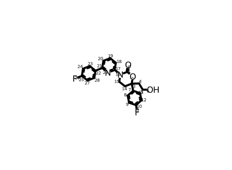 O=C1OC(CCO)(c2ccc(F)cc2)CCN1c1cccc(-c2ccc(F)cc2)n1